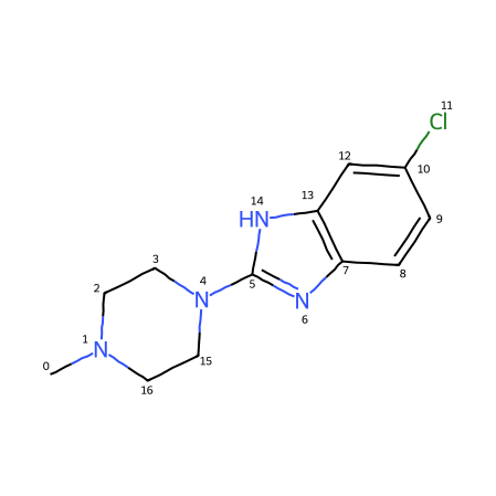 CN1CCN(c2nc3ccc(Cl)cc3[nH]2)CC1